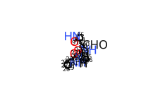 O=C[C@H](C[C@@H]1CCCNC1=O)NC(=O)[C@@H]1[C@H]2CCC[C@H]2CN1C(=O)c1cc2ccccc2[nH]1